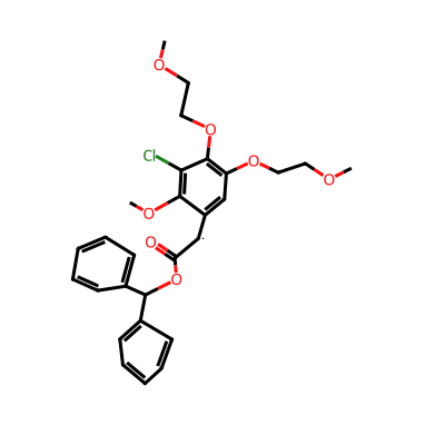 COCCOc1cc([CH]C(=O)OC(c2ccccc2)c2ccccc2)c(OC)c(Cl)c1OCCOC